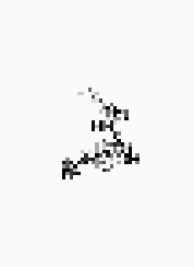 C[C@@H](NC(=O)Cn1cnnn1)[C@H]1C(=O)N2C(C(=O)O)=C(SC3CN[C@H](C(=O)N4CCN(C5CNC5)CC4)C3)[C@H](C)[C@H]12